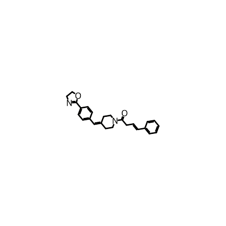 O=C(CC=Cc1ccccc1)N1CCC(=Cc2ccc(C3=NCCO3)cc2)CC1